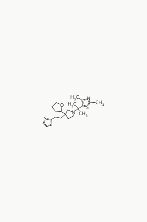 Cc1nc(C)c(C(C)(C)N2CCC(CCc3cccs3)(C3CCCO3)C2)s1